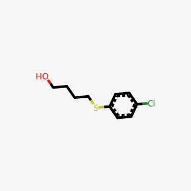 OCCCCSc1ccc(Cl)cc1